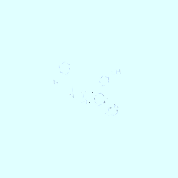 Cc1ccc(-c2nc(NC(=O)CNCC3CCN(Cc4ccccc4)C3)cc(-c3nccs3)n2)o1